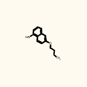 CCCCOc1ccc2c([NH])cccc2c1